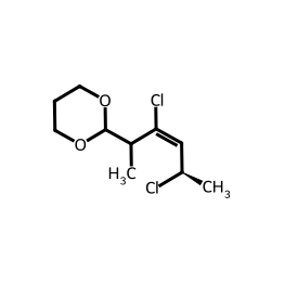 CC(/C(Cl)=C\[C@@H](C)Cl)C1OCCCO1